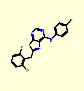 Clc1cccc(Cl)c1Cc1nc2c(Nc3ccc(Br)cc3)ncnc2s1